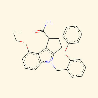 NC(=O)C1CCc2c1c1c(OCC(=O)O)cccc1n2Cc1ccccc1Oc1ccccc1